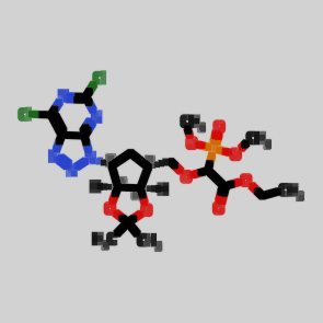 CCOC(=O)C(OC[C@H]1C[C@@H](n2nnc3c(Cl)nc(Cl)nc32)[C@@H]2OC(C)(C)O[C@H]12)P(=O)(OC)OC